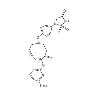 C=C1CC[C@@H](Oc2ccc(N3CC(=O)NS3(=O)=O)cc2)C/C=C\C=C/1Oc1cccc(OC)n1